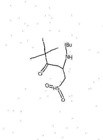 CC(C)(C)NC(C[SH](=O)=O)C(=O)C(C)(C)I